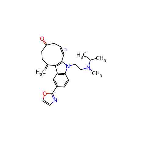 C=C1CCC(=O)C/C=C\c2c1c1cc(-c3ncco3)ccc1n2CCN(C)C(C)C